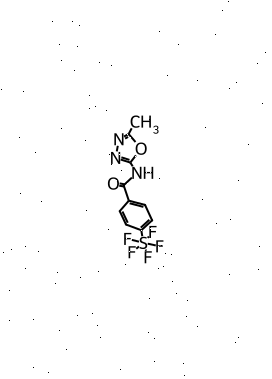 Cc1nnc(NC(=O)c2ccc(S(F)(F)(F)(F)F)cc2)o1